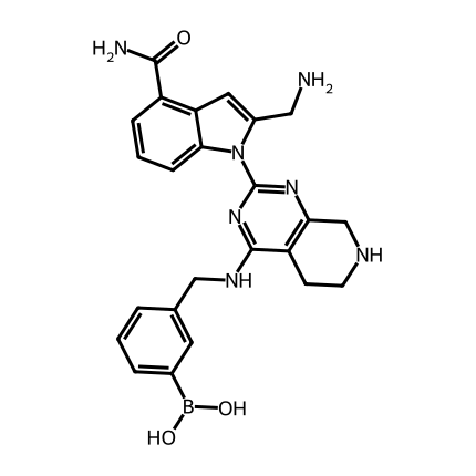 NCc1cc2c(C(N)=O)cccc2n1-c1nc2c(c(NCc3cccc(B(O)O)c3)n1)CCNC2